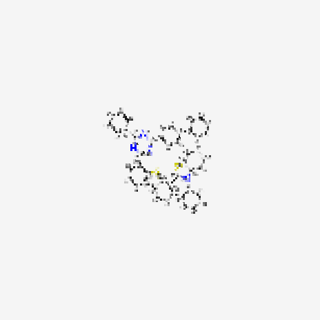 c1ccc(-c2ccc(-c3nc(-c4ccccc4)nc(-c4cccc5c4sc4c(-c6nc7ccccc7s6)c(-c6ccccc6)ccc45)n3)cc2)cc1